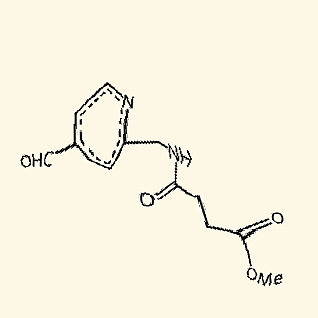 COC(=O)CCC(=O)Nc1cc(C=O)ccn1